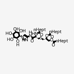 CCCCCCCC(=O)N[C@H](CSC[C@@H](COC(=O)CCCCCCC)OC(=O)CCCCCCC)C(=O)Nc1cn([C@@H]2[C@H](O)[C@H](O)[C@@H](O)[C@H](O)[C@H]2O)nn1